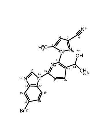 Cc1cc(C#N)nn1-c1nc(-n2cnc3cc(Br)ccc32)ccc1C(C)O